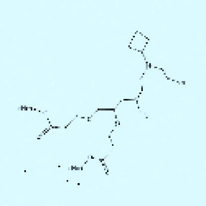 CCCCCCCCCOC(=O)CCOCC(CN(C)CCN(CCO)C1CCC1)OCCC(=O)OCCCCCCCCC